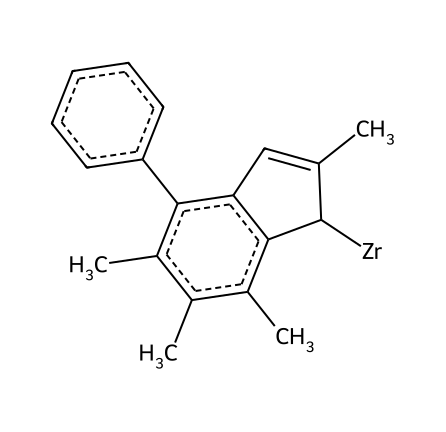 CC1=Cc2c(-c3ccccc3)c(C)c(C)c(C)c2[CH]1[Zr]